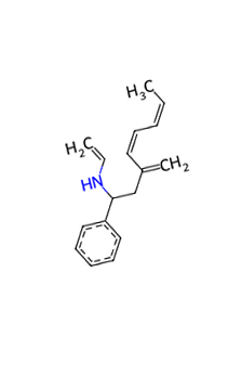 C=CNC(CC(=C)/C=C\C=C/C)c1ccccc1